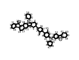 Cc1cc(-c2ccc3c(c2)c2cc4ccc5c(c4cc2n3-c2ccccc2)C(C)(C)c2ccccc2-5)ccc1-c1ccc(N(c2ccccc2)c2ccc3c(c2)oc2ccccc23)cc1C